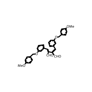 COc1ccc(COc2cccc(C=C(C=O)C(C=O)=Cc3cccc(OCc4ccc(OC)cc4)c3)c2)cc1